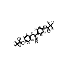 CC(C)(C)C(=O)Oc1ccc(CC(C#N)c2ccc(OC(=O)C(C)(C)C)cc2)cc1